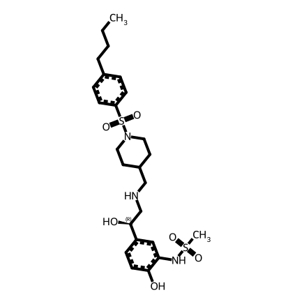 CCCCc1ccc(S(=O)(=O)N2CCC(CNC[C@H](O)c3ccc(O)c(NS(C)(=O)=O)c3)CC2)cc1